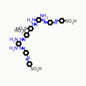 Nc1cc(N)c(N=Nc2ccc(-c3ccc(N=Nc4cc(N=Nc5ccc(/N=N/c6ccc(S(=O)(=O)O)cc6)cc5)c(N)cc4N)cc3S(=O)(=O)O)c(S(=O)(=O)O)c2)cc1N=Nc1ccc(N=Nc2ccc(S(=O)(=O)O)cc2)cc1